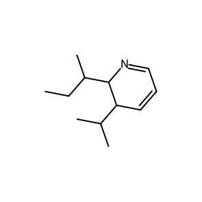 CCC(C)C1N=CC=CC1C(C)C